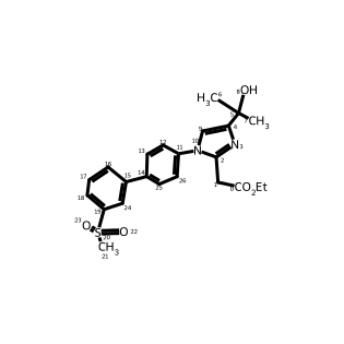 CCOC(=O)Cc1nc(C(C)(C)O)cn1-c1ccc(-c2cccc(S(C)(=O)=O)c2)cc1